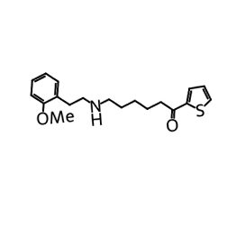 COc1ccccc1CCNCCCCCC(=O)c1cccs1